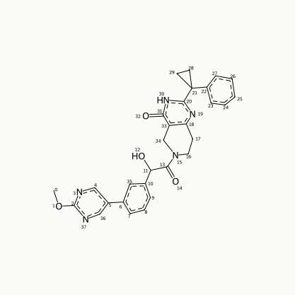 COc1ncc(-c2cccc(C(O)C(=O)N3CCc4nc(C5(c6ccccc6)CC5)[nH]c(=O)c4C3)c2)cn1